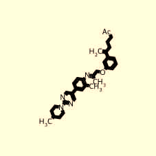 C=C(CCCC(C)=O)c1cccc(OC/C(C)=N/c2ccc(-c3cnc(N4CCC(C)CC4)nc3)cc2C)c1